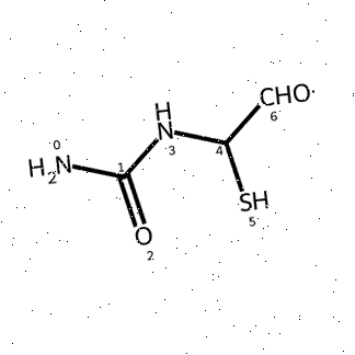 NC(=O)NC(S)[C]=O